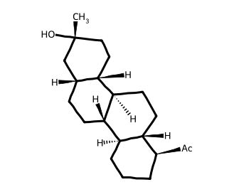 CC(=O)[C@H]1CCC[C@H]2[C@@H]3CC[C@@H]4C[C@](C)(O)CC[C@@H]4[C@H]3CC[C@@H]21